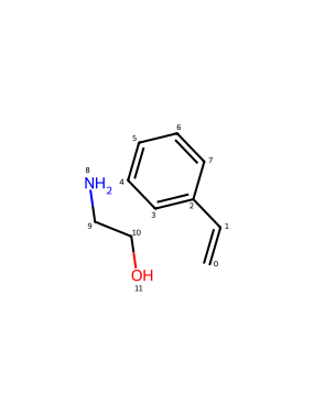 C=Cc1ccccc1.NCCO